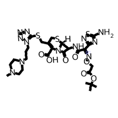 CN1CCN(CCCn2nnnc2SCC2=C(C(=O)O)N3C(=O)C(NC(=O)/C(=N\OCC(=O)OC(C)(C)C)c4nsc(N)n4)[C@H]3SC2)CC1